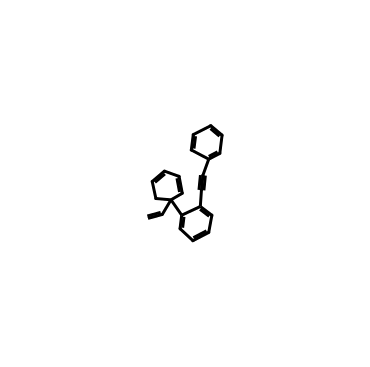 C=CC1(c2ccccc2C#Cc2ccccc2)C=CC=CC1